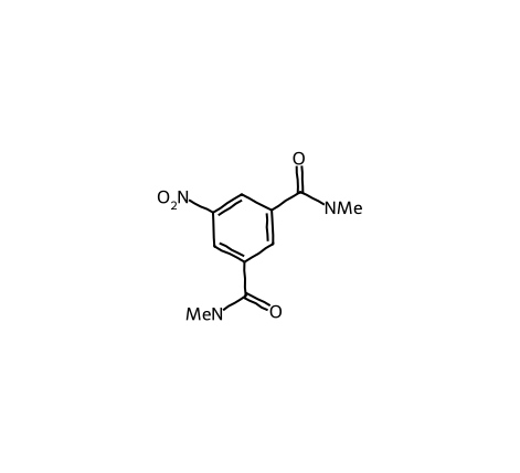 CNC(=O)c1cc(C(=O)NC)cc([N+](=O)[O-])c1